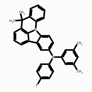 Cc1cc(C)cc(N(c2ccc(F)cc2)c2ccc3c(c2)c2cccc4c2n3-c2ccccc2C4(C)C)c1